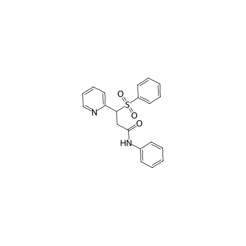 O=C(CC(c1ccccn1)S(=O)(=O)c1ccccc1)Nc1ccccc1